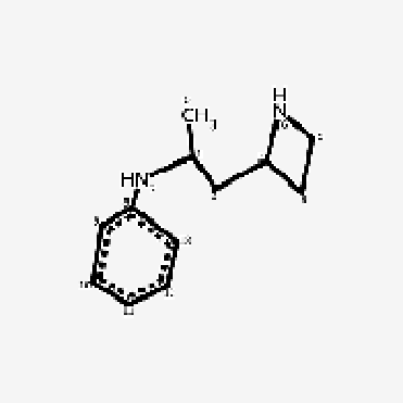 CC(CC1CCN1)Nc1ccccc1